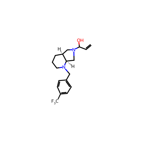 C=CC(O)N1C[C@@H]2CCCN(Cc3ccc(C(F)(F)F)cc3)[C@@H]2C1